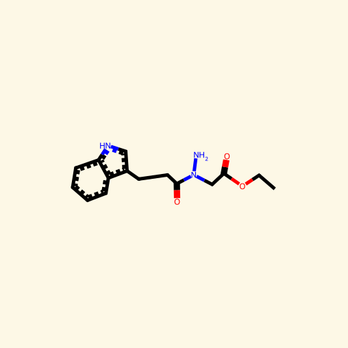 CCOC(=O)CN(N)C(=O)CCc1c[nH]c2ccccc12